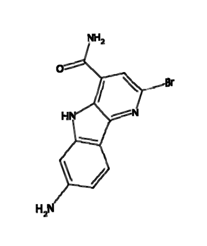 NC(=O)c1cc(Br)nc2c1[nH]c1cc(N)ccc12